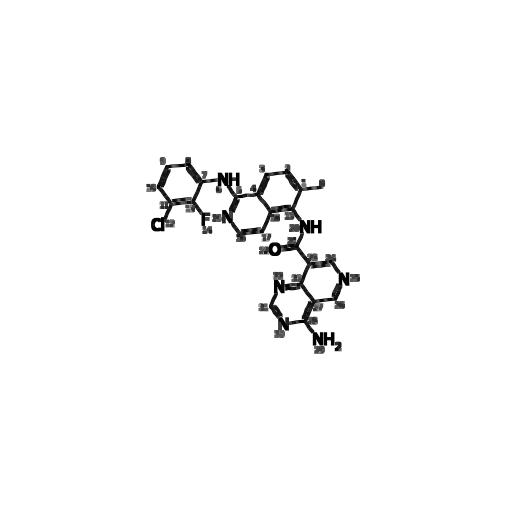 Cc1ccc2c(Nc3cccc(Cl)c3F)nccc2c1NC(=O)c1cncc2c(N)ncnc12